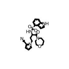 N#Cc1cccn1CCC(NS(=O)(=O)c1cccc2[nH]ccc12)C(=O)N1CCCOCC1